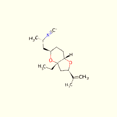 [C-]#[N+][C@@H](C)C[C@H]1CC[C@@H]2O[C@@H](C(=C)C)C[C@]2(CC)O1